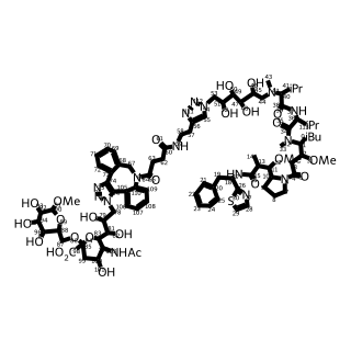 CCC(C)C(C(CC(=O)N1CCCC1C(OC)C(C)C(=O)NC(Cc1ccccc1)c1nccs1)OC)N(C)C(=O)C(NC(=O)C(C(C)C)N(C)CC(O)C(O)C(O)C(O)Cn1cc(CCNC(=O)CCC(=O)N2Cc3ccccc3-c3nnn(CC(O)C(O)C4OC(OCC5OC(OC)C(O)C(O)C5O)(C(=O)O)CC(O)C4NC(C)=O)c3-c3ccccc32)nn1)C(C)C